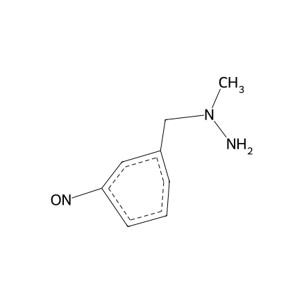 CN(N)Cc1cccc(N=O)c1